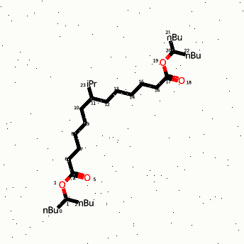 CCCCC(CCCC)OC(=O)CCCCCC(CCCCCC(=O)OC(CCCC)CCCC)C(C)C